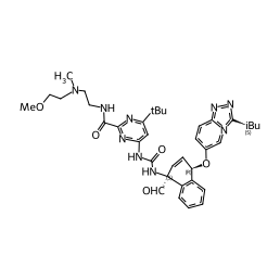 CC[C@H](C)c1nnc2ccc(O[C@@H]3C=C[C@](C=O)(NC(=O)Nc4cc(C(C)(C)C)nc(C(=O)NCCN(C)CCOC)n4)c4ccccc43)cn12